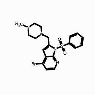 CN1CCN(Cc2cc3c(Br)ccnc3n2S(=O)(=O)c2ccccc2)CC1